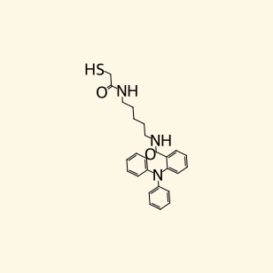 O=C(CS)NCCCCCNC(=O)c1ccccc1N(c1ccccc1)c1ccccc1